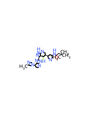 Cc1cn(-c2ccnc3[nH]c(-c4n[nH]c5ncc(-c6cncc(NC(=O)CC(C)(C)C)c6)c(F)c45)nc23)cn1